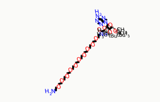 CC(C)(C)[Si](C)(C)OC[C@H]1OC(n2cnc3c(N)ncnc32)[C@H](OCC(=O)NCCOCCOCCOCCOCCOCCOCCOCCOCCOCCOCCN)[C@@H]1O[Si](C)(C)C(C)(C)C